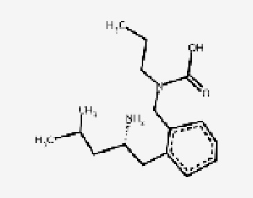 CCCN(Cc1ccccc1C[C@@H](N)CC(C)C)C(=O)O